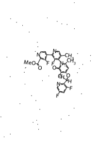 [2H]C([2H])(Oc1cc(C)n(-c2c(C)cnc(-c3ccnc(C(=O)OC)c3F)c2F)c(=O)c1Cl)c1ncc(F)cc1F